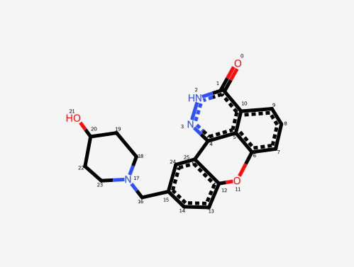 O=c1[nH]nc2c3c(cccc13)Oc1ccc(CN3CCC(O)CC3)cc1-2